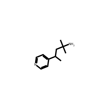 CC(CC(C)(C)N)c1ccncc1